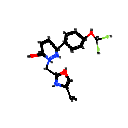 Cc1coc(Cn2nc(-c3ccc(OC(F)F)cc3)ccc2=O)n1